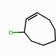 ClC1C=CCCCCC1